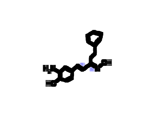 Nc1cc(/C=C/C(CCc2ccccc2)=N/O)ccc1O